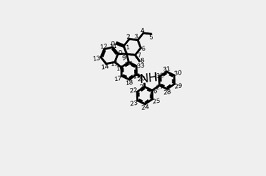 C=C1CC(CC)CC(C)C12C1=CC=CCC1c1ccc(Nc3ccccc3-c3ccccc3)cc12